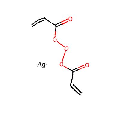 C=CC(=O)OOOC(=O)C=C.[Ag]